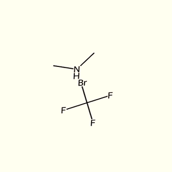 CNC.FC(F)(F)Br